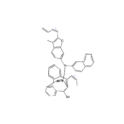 C=C/C=C\c1oc2cc(N(c3ccc4c(c3)C3=C(/C=C\C)c5ccccc5-c5c-4cccc5C3S)c3ccc4ccccc4c3)ccc2c1C